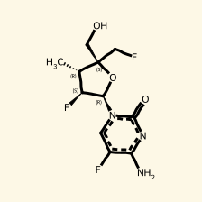 C[C@H]1[C@H](F)[C@H](n2cc(F)c(N)nc2=O)O[C@@]1(CO)CF